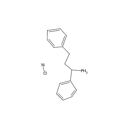 PC(CCc1ccccc1)c1ccccc1.[Cl][Ni]